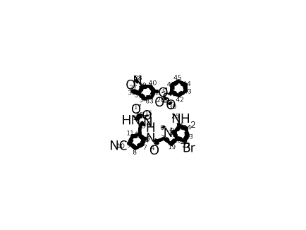 Cn1c(C(=O)Nc2ccc(C#N)cc2-c2noc(=O)[nH]2)cc2c(Br)ccc(N)c21.O=S(=O)(Oc1ccc2conc2c1)c1ccccc1